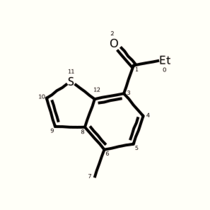 CCC(=O)c1ccc(C)c2ccsc12